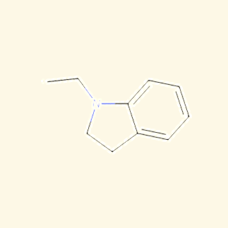 [CH2]CN1CCc2ccccc21